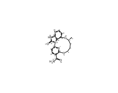 C[C@H]1CCCOc2nc(ccc2C(N)=O)-n2c(=O)[nH]c3nccc(c32)O1